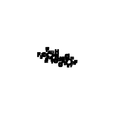 O=C(NC(=O)c1ccc(F)cc1Cl)Nc1cc(F)c(C(F)(F)F)c(F)c1F